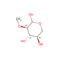 CO[C@H]1C(O)OC[C@@H](O)[C@@H]1O